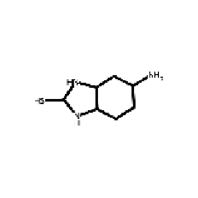 NC1CCC2NC(S)NC2C1